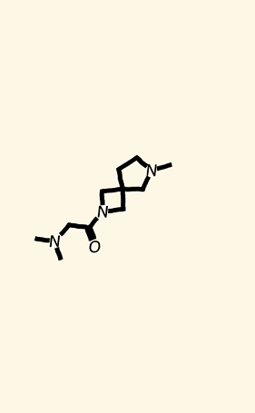 CN(C)CC(=O)N1CC2(CCN(C)C2)C1